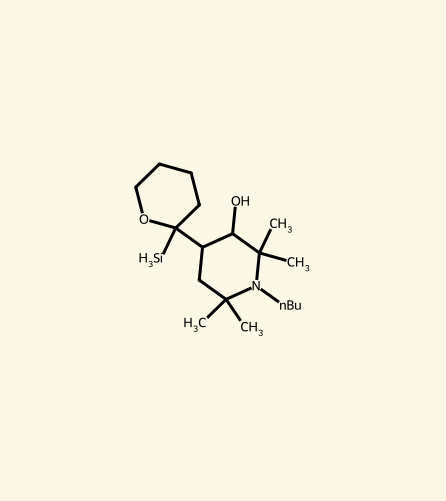 CCCCN1C(C)(C)CC(C2([SiH3])CCCCO2)C(O)C1(C)C